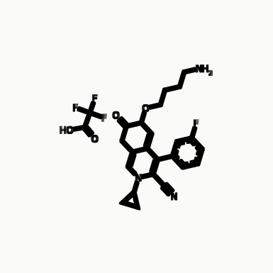 N#CC1=C(c2cccc(F)c2)C2=CC(OCCCCN)C(=O)CC2=CN1C1CC1.O=C(O)C(F)(F)F